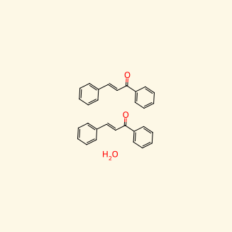 O.O=C(C=Cc1ccccc1)c1ccccc1.O=C(C=Cc1ccccc1)c1ccccc1